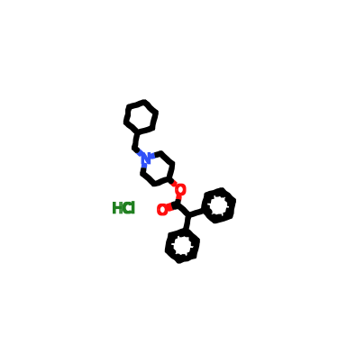 Cl.O=C(OC1CCN(CC2CCCCC2)CC1)C(c1ccccc1)c1ccccc1